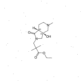 CCOC(=O)C(C)(C)CN1C[C@@]2(O)CN(C)CC[C@H]2C1=O